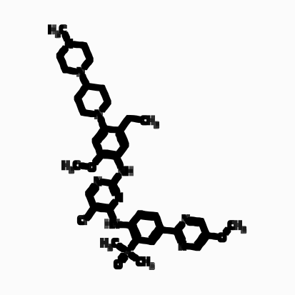 CCc1cc(Nc2ncc(Cl)c(Nc3ccc(-c4ncc(OC)cn4)cc3P(C)(C)=O)n2)c(OC)cc1N1CCC(N2CCN(C)CC2)CC1